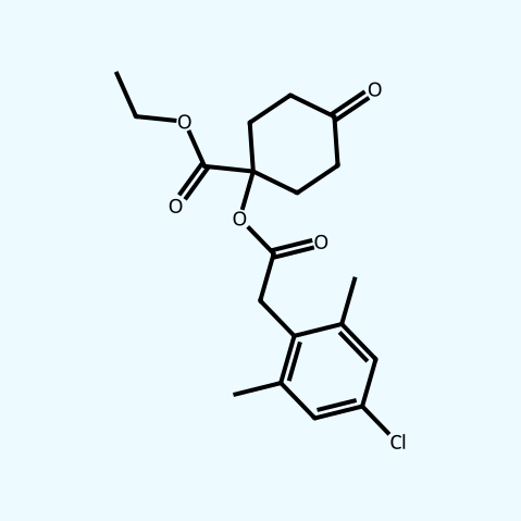 CCOC(=O)C1(OC(=O)Cc2c(C)cc(Cl)cc2C)CCC(=O)CC1